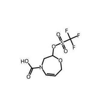 O=C(O)N1C=CCOC(OS(=O)(=O)C(F)(F)F)C1